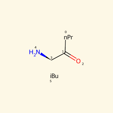 [CH2]CCC(=O)[C@H](N)[C@H](C)CC